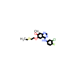 CCSCCOc1cc2c(Nc3ccc(F)c(Cl)c3)ncnc2cc1OC